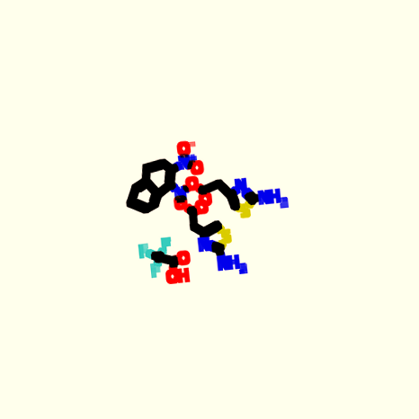 Nc1nc(CC(=O)ON(OC(=O)Cc2csc(N)n2)c2c([N+](=O)[O-])ccc3ccccc23)cs1.O=C(O)C(F)(F)F